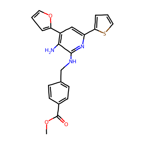 COC(=O)c1ccc(CNc2nc(-c3cccs3)cc(-c3ccco3)c2N)cc1